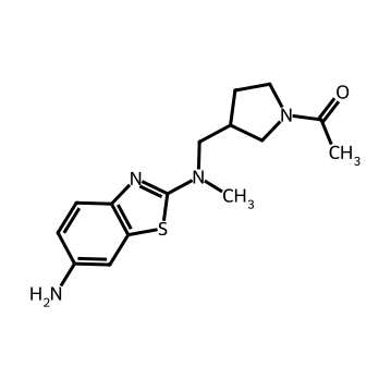 CC(=O)N1CCC(CN(C)c2nc3ccc(N)cc3s2)C1